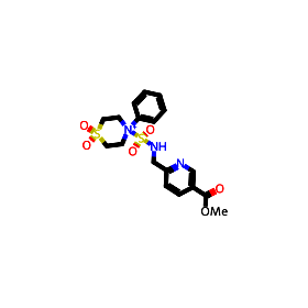 COC(=O)c1ccc(CNS(=O)(=O)[N+]2(c3ccccc3)CCS(=O)(=O)CC2)nc1